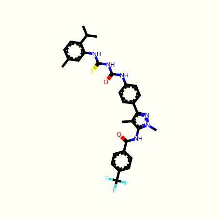 Cc1ccc(C(C)C)c(NC(=S)NC(=O)Nc2ccc(-c3nn(C)c(NC(=O)c4ccc(C(F)(F)F)cc4)c3C)cc2)c1